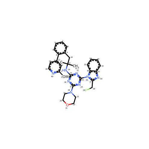 COc1cc(-c2ccccc2CC(C)(C)Nc2nc(N3CCOCC3)nc(-n3c(CF)nc4ccccc43)n2)ccn1